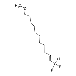 COCCCCCCCCCC=CC(F)(F)Cl